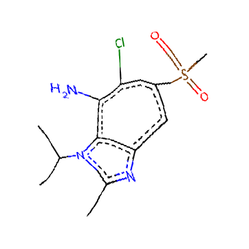 Cc1nc2cc(S(C)(=O)=O)c(Cl)c(N)c2n1C(C)C